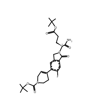 CC(C)(C)OC(=O)CC[C@@H](C(N)=O)N1Cc2cc(C3=CCN(C(=O)OC(C)(C)C)CC3)c(F)cc2C1=O